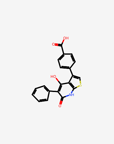 O=C(O)c1ccc(-c2csc3[nH]c(=O)c(-c4ccccc4)c(O)c23)cc1